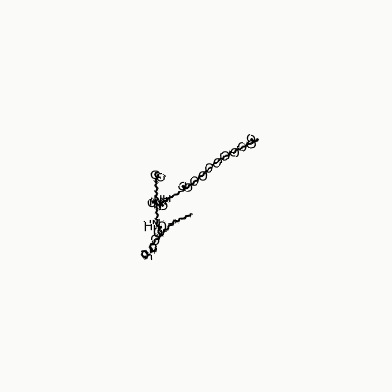 C=CC(=O)OCCOCCOCCOCCOCCOCCOCCOCCOC(=O)CCCCCCCNC(=O)N(CCCCCCNC(=O)OC(CCCCCCCCCCCC)COc1ccc([I+]c2ccccc2)cc1)C(=O)NCCCCCCCC(=O)OC